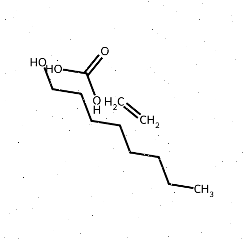 C=C.CCCCCCCCO.O=C(O)O